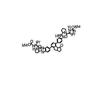 COC(=O)N[C@H](C(=O)N1CCCC1c1nc2ccc(-c3ccc(-c4ccc5nc([C@@H]6CCCN6C(=O)[C@@H](NC(=O)OC)C(C)C)[nH]c5c4)c4c3C3C(=O)CCC3C4)cc2[nH]1)C(C)C